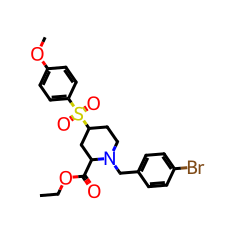 CCOC(=O)C1CC(S(=O)(=O)c2ccc(OC)cc2)CCN1Cc1ccc(Br)cc1